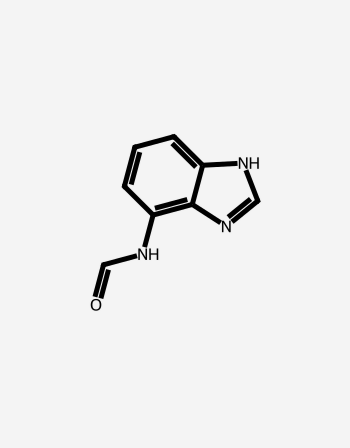 O=CNc1cccc2[nH]cnc12